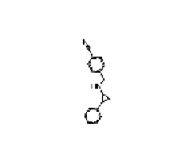 N#Cc1ccc(CNC2CC2c2ccccc2)cc1